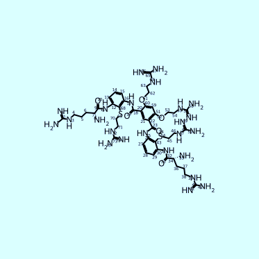 N=C(N)NCCC[C@@H](N)C(=O)Nc1cccc(NC(=O)c2cc(C(=O)Nc3cccc(NC(=O)[C@H](N)CCCNC(=N)N)c3SCCNC(=N)N)c(OCCNC(=N)N)cc2OCCNC(=N)N)c1SCCNC(=N)N